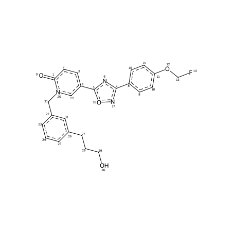 O=c1ccc(-c2nc(-c3ccc(OCF)cc3)no2)cn1Cc1cccc(CCCO)c1